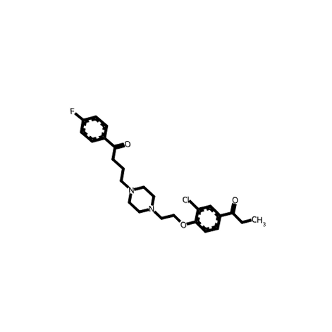 CCC(=O)c1ccc(OCCN2CCN(CCCC(=O)c3ccc(F)cc3)CC2)c(Cl)c1